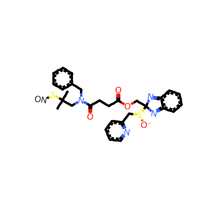 CC(C)(CN(Cc1ccccc1)C(=O)CCC(=O)OCC1([S+]([O-])Cc2ccccn2)N=c2ccccc2=N1)SN=O